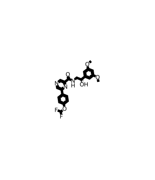 COc1cc(OC)cc([C@H](O)CNC(=O)c2cncc(-c3ccc(OC(F)F)cc3)n2)c1